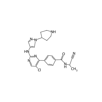 CC(C#N)NC(=O)c1ccc(-c2nc(Nc3cnn(C4CCNCC4)c3)ncc2Cl)cc1